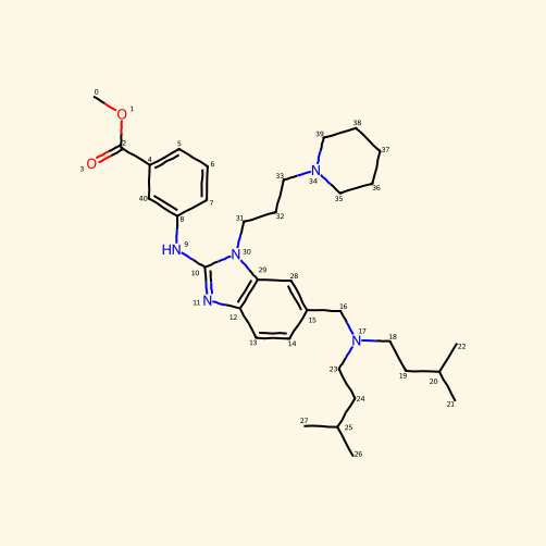 COC(=O)c1cccc(Nc2nc3ccc(CN(CCC(C)C)CCC(C)C)cc3n2CCCN2CCCCC2)c1